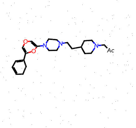 CC(=O)CN1CCC(CCN2CCN(C3=COC=C(C4=CC=CCC4)O3)CC2)CC1